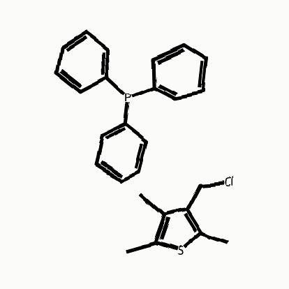 Cc1sc(C)c(CCl)c1C.c1ccc(P(c2ccccc2)c2ccccc2)cc1